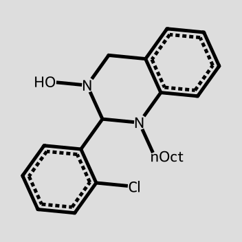 CCCCCCCCN1c2ccccc2CN(O)C1c1ccccc1Cl